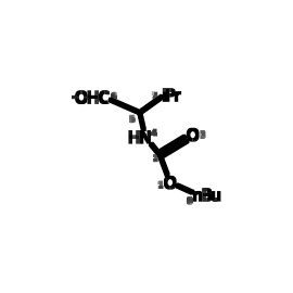 CCCCOC(=O)NC([C]=O)C(C)C